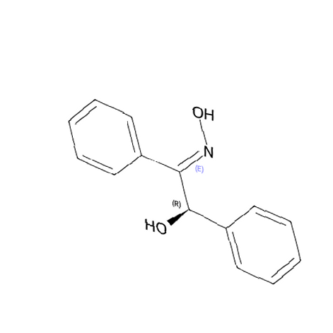 O/N=C(\c1ccccc1)[C@H](O)c1ccccc1